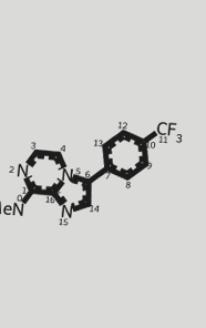 CNc1nccn2c(-c3ccc(C(F)(F)F)cc3)cnc12